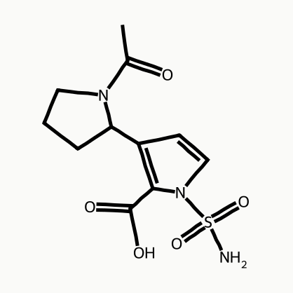 CC(=O)N1CCCC1c1ccn(S(N)(=O)=O)c1C(=O)O